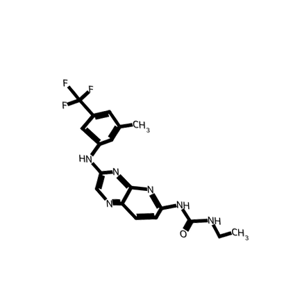 CCNC(=O)Nc1ccc2ncc(Nc3cc(C)cc(C(F)(F)F)c3)nc2n1